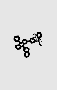 CCc1nc2cccc3c2n1-c1ccc(-c2ccc4c(-c5ccccc5)c5ccccc5c(-c5ccc6ccccc6c5)c4c2)cc1O3